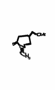 CC(=O)OCC1CC(=O)N(C)C1